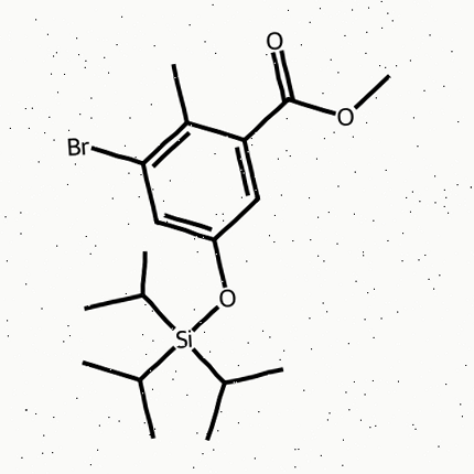 COC(=O)c1cc(O[Si](C(C)C)(C(C)C)C(C)C)cc(Br)c1C